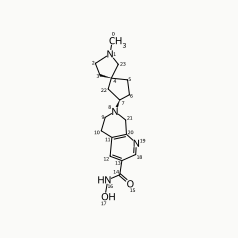 CN1CC[C@]2(CC[C@@H](N3CCc4cc(C(=O)NO)cnc4C3)C2)C1